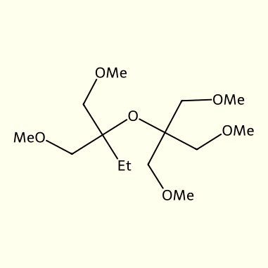 CCC(COC)(COC)OC(COC)(COC)COC